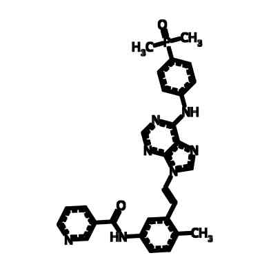 Cc1ccc(NC(=O)c2cccnc2)cc1C=Cn1cnc2c(Nc3ccc(P(C)(C)=O)cc3)ncnc21